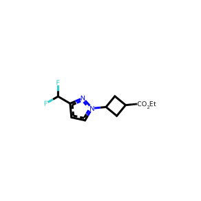 CCOC(=O)C1CC(n2ccc(C(F)F)n2)C1